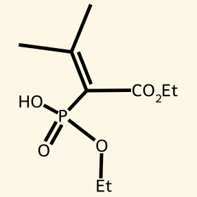 CCOC(=O)C(=C(C)C)P(=O)(O)OCC